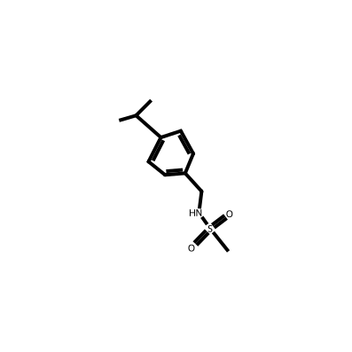 CC(C)c1ccc(CNS(C)(=O)=O)cc1